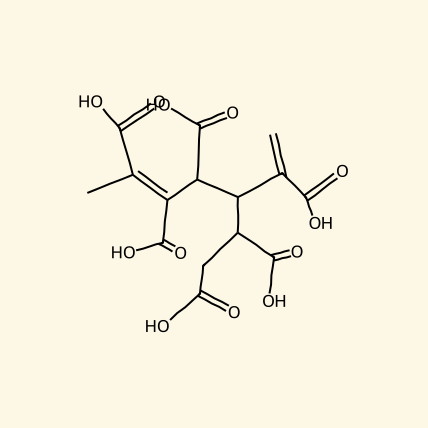 C=C(C(=O)O)C(C(CC(=O)O)C(=O)O)C(C(=O)O)C(C(=O)O)=C(C)C(=O)O